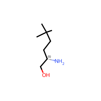 CC(C)(C)CC[C@H](N)CO